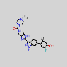 CCc1cc(O)c(F)cc1-c1ccc2c(-c3nc4c([nH]3)CN(C(=O)N3CCN(C)CC3)C4)n[nH]c2c1